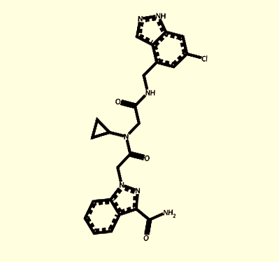 NC(=O)c1nn(CC(=O)N(CC(=O)NCc2cc(Cl)cc3[nH]ncc23)C2CC2)c2ccccc12